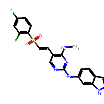 CNc1nc(Nc2ccc3cc[nH]c3c2)ncc1/C=C/S(=O)(=O)c1ccc(F)cc1F